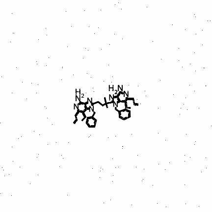 C=C/C=c1/nc(N)c2nc(CCC(C)(C)c3nc4c(N)nc(=C/C=C)/c(=C\C)c4n3Cc3ccccc3)n(Cc3ccccc3)c2/c1=C/C